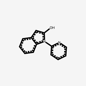 Oc1cc2ccccc2n1-c1ccccn1